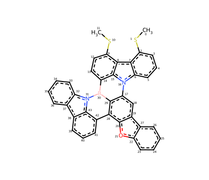 CSc1cccc2c1c1c(SC)ccc3c1n2-c1cc2c(oc4ccccc42)c2c1B3n1c3ccccc3c3cccc-2c31